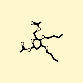 CCCCOC1CC(OC(C)=O)OC(COC(C)=O)C1OCCCC